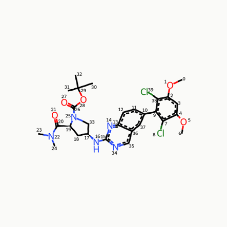 COc1cc(OC)c(Cl)c(-c2ccc3nc(N[C@H]4C[C@@H](C(=O)N(C)C)N(C(=O)OC(C)(C)C)C4)ncc3c2)c1Cl